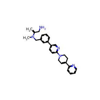 C=C(CN)N(C)Cc1cccc(-c2ccc(N3CC=C(c4ccccn4)CC3)nc2)c1